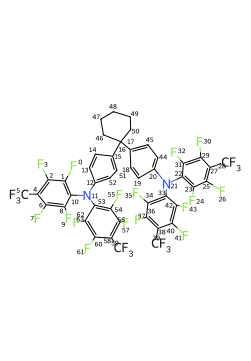 Fc1c(F)c(C(F)(F)F)c(F)c(F)c1N(c1ccc(C2(c3ccc(N(c4c(F)c(F)c(C(F)(F)F)c(F)c4F)c4c(F)c(F)c(C(F)(F)F)c(F)c4F)cc3)CCCCC2)cc1)c1c(F)c(F)c(C(F)(F)F)c(F)c1F